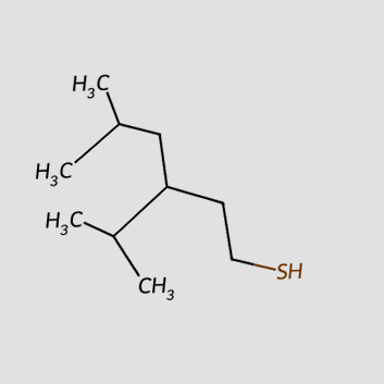 CC(C)CC(CCS)C(C)C